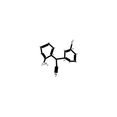 Cc1ccccc1C(C#N)c1cccc(F)c1